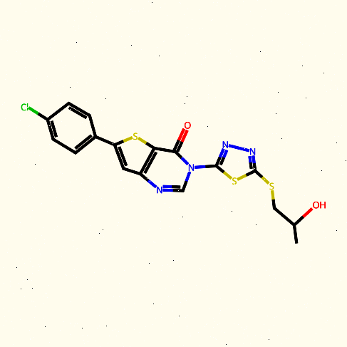 CC(O)CSc1nnc(-n2cnc3cc(-c4ccc(Cl)cc4)sc3c2=O)s1